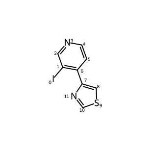 Ic1cnccc1-c1cscn1